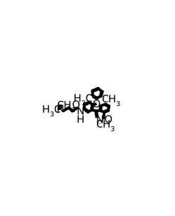 Cc1cccc(C)c1Oc1ccc(NC(=O)CCCN(C)C)cc1-c1cn(C)c(=O)c2ccccc12